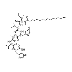 CCCCCCCCCCCCCCCC(=O)N[C@H](C(=O)N[C@H](C(=O)N[C@@H](Cc1c[nH]cn1)C(=O)N[C@@H](C)C(=O)N[C@H](C(=O)N[C@@H](Cc1c[nH]cn1)C(=O)NC)C(C)C)C(C)C)[C@@H](C)CC